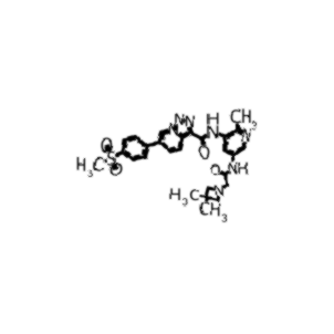 Cc1ncc(NC(=O)CN2CC(C)(C)C2)cc1NC(=O)c1nnn2cc(-c3ccc(S(C)(=O)=O)cc3)ccc12